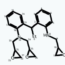 CCC(c1ccccc1NCC1CO1)c1ccccc1N(CC1CO1)CC1CO1